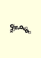 COc1cc(Cl)ccc1COc1cccc(CN2CCN(c3ncccc3C(=O)OC(C)C)CC2)c1